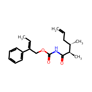 C=CC[C@H](C)[C@@H](C)C(=O)NC(=O)OC/C(=C/C)c1ccccc1